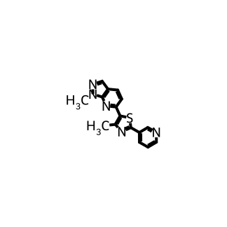 Cc1nc(-c2cccnc2)sc1-c1ccc2cnn(C)c2n1